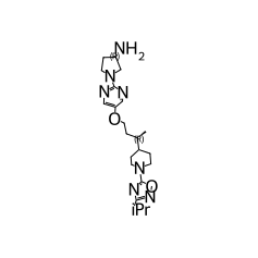 CC(C)c1noc(N2CCC([C@H](C)CCOc3cnc(N4CC[C@@H](N)C4)nc3)CC2)n1